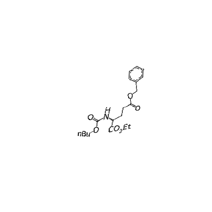 CCCCOC(=O)NC(CCC(=O)OCc1ccccc1)C(=O)OCC